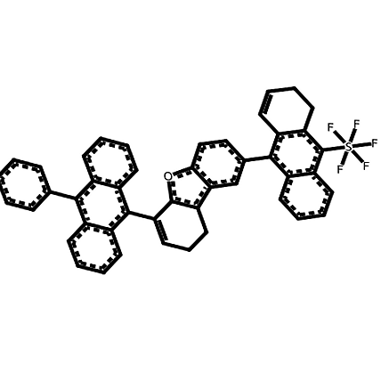 FS(F)(F)(F)(F)c1c2c(c(-c3ccc4oc5c(c4c3)CCC=C5c3c4ccccc4c(-c4ccccc4)c4ccccc34)c3ccccc13)C=CCC2